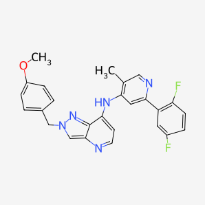 COc1ccc(Cn2cc3nccc(Nc4cc(-c5cc(F)ccc5F)ncc4C)c3n2)cc1